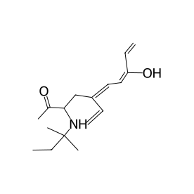 C=C/C(=C\C=C(\O)C=C)CC(NC(C)(C)CC)C(C)=O